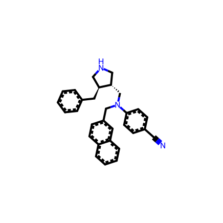 N#Cc1ccc(N(Cc2ccc3ccccc3c2)C[C@H]2CNC[C@@H]2Cc2ccccc2)cc1